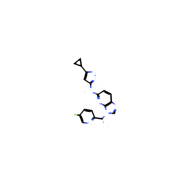 C[C@@H](c1ccc(F)cn1)n1cnc2ccc(Nc3cc(C4CC4)[nH]n3)nc21